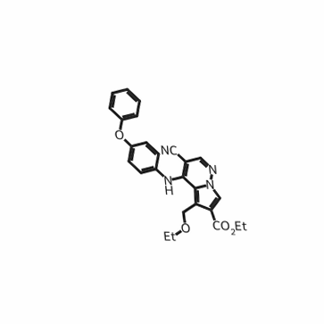 CCOCc1c(C(=O)OCC)cn2ncc(C#N)c(Nc3ccc(Oc4ccccc4)cc3)c12